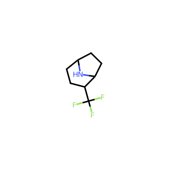 FC(F)(F)C1CCC2CCC1N2